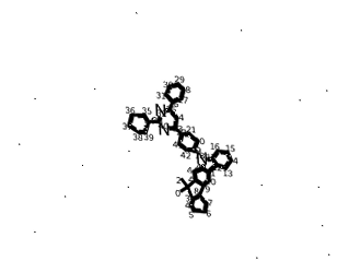 CC1(C)c2ccccc2-c2cc3c4ccccc4n(-c4ccc(-c5cc(-c6ccccc6)nc(-c6ccccc6)n5)cc4)c3cc21